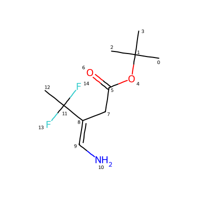 CC(C)(C)OC(=O)C/C(=C\N)C(C)(F)F